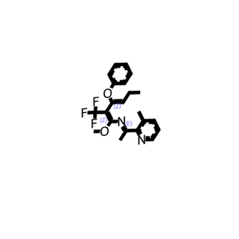 CC/C=C(Oc1ccccc1)/C(=C(\N=C(/C)c1ncccc1C)OC)C(F)(F)F